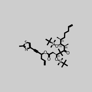 C=CCCC[C@H](C)[C@H](O[Si](C)(C)C(C)(C)C)[C@@H](C)C(=O)C(C)(C)[C@H](CC(=O)OC(C#Cc1csc(C)n1)CC=C)O[Si](C)(C)C(C)(C)C